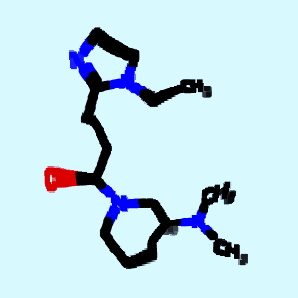 CCn1ccnc1CCC(=O)N1CCC[C@H](N(C)C)C1